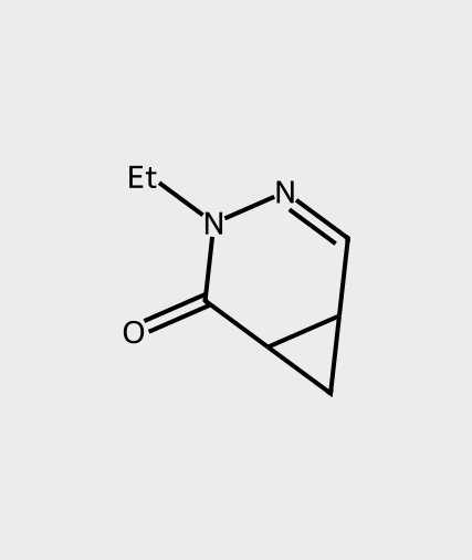 CCN1N=CC2CC2C1=O